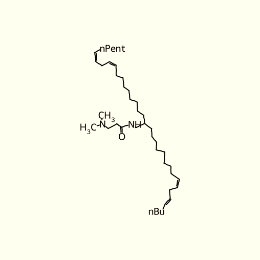 CCCC/C=C/C/C=C\CCCCCCCCC(CCCCCCCC/C=C\C/C=C\CCCCC)CNC(=O)CCN(C)C